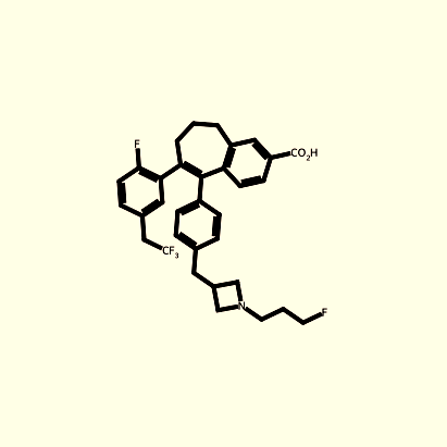 O=C(O)c1ccc2c(c1)CCCC(c1cc(CC(F)(F)F)ccc1F)=C2c1ccc(CC2CN(CCCF)C2)cc1